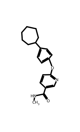 CNC(=O)c1ccc(Oc2ccc(C3CCCCCC3)cc2)nc1